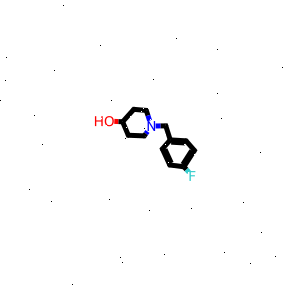 OC1CCN(Cc2ccc(F)cc2)CC1